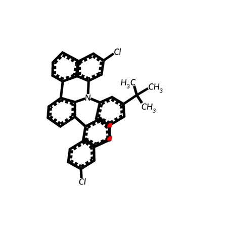 CC(C)(C)c1cc(Sc2cccc(Cl)c2)cc(N(c2cccc(Cl)c2)c2c(-c3ccccc3)cccc2-c2ccccc2)c1